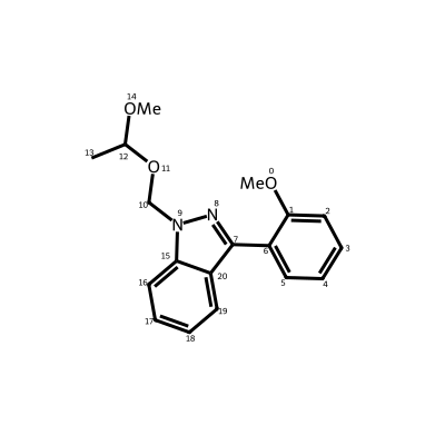 COc1ccccc1-c1nn(COC(C)OC)c2ccccc12